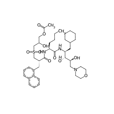 CCCC[C@H](NC(=O)[C@H](Cc1cccc2ccccc12)CS(=O)(=O)CC(O)COC(C)=O)C(=O)N[C@@H](CC1CCCCC1)[C@@H](O)[C@@H](O)CN1CCOCC1